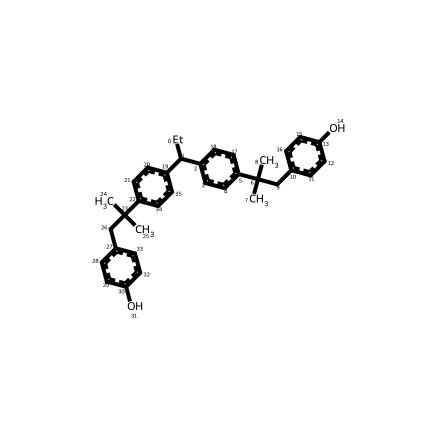 CCC(c1ccc(C(C)(C)Cc2ccc(O)cc2)cc1)c1ccc(C(C)(C)Cc2ccc(O)cc2)cc1